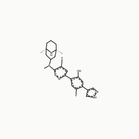 CN(c1nnc(-c2cc(F)c(-c3cn[nH]c3)cc2O)cc1F)C1C[C@]2(C)CCC[C@](C)(C1)N2